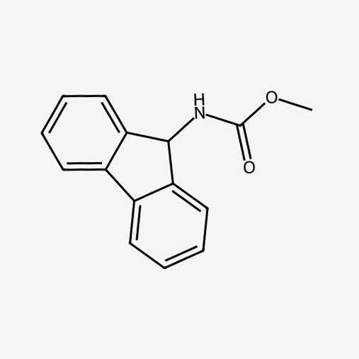 COC(=O)NC1c2ccccc2-c2ccccc21